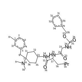 Cc1cccc(CC2(N(C)C)CCC(NC(=O)C(CC(C)C)NC(=O)CNC(=O)OCc3ccccc3)CC2)c1